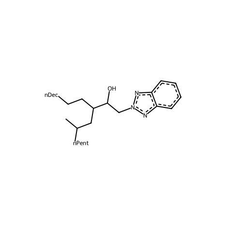 CCCCCCCCCCCCC(CC(C)CCCCC)C(O)Cn1nc2ccccc2n1